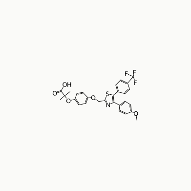 COc1ccc(-c2nc(COc3ccc(OC(C)(C)C(=O)O)cc3)sc2-c2ccc(C(F)(F)F)cc2)cc1